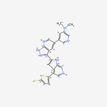 CN(C)c1cncc(-c2cnc3[nH]nc(-c4cc5c(-c6ccc(F)s6)cncc5[nH]4)c3c2)c1